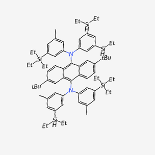 CC[SiH2]c1cc(N(c2cc(C)cc([Si](CC)(CC)CC)c2)c2c3ccc(C(C)(C)C)cc3c(N(c3cc(C)cc([SiH](CC)CC)c3)c3cc(C)cc([Si](CC)(CC)CC)c3)c3ccc(C(C)(C)C)cc23)cc([SiH](CC)CC)c1